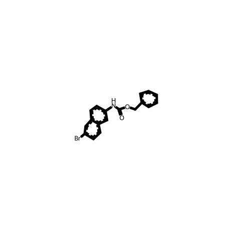 O=C(Nc1ccc2cc(Br)ccc2c1)OCc1ccccc1